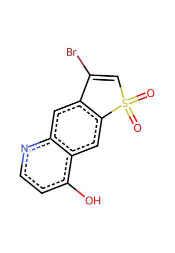 O=S1(=O)C=C(Br)c2cc3nccc(O)c3cc21